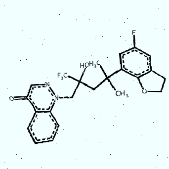 CC(C)(CC(O)(Cn1ncc(=O)c2ccccc21)C(F)(F)F)c1cc(F)cc2c1OCC2